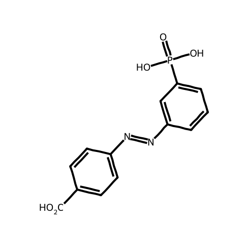 O=C(O)c1ccc(N=Nc2cccc(P(=O)(O)O)c2)cc1